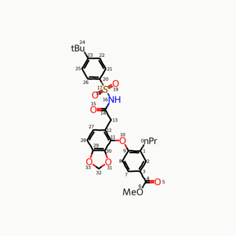 CCCc1cc(C(=O)OC)ccc1Oc1c(CC(=O)NS(=O)(=O)c2ccc(C(C)(C)C)cc2)ccc2c1OCO2